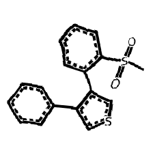 CS(=O)(=O)c1ccccc1-c1cscc1-c1ccccc1